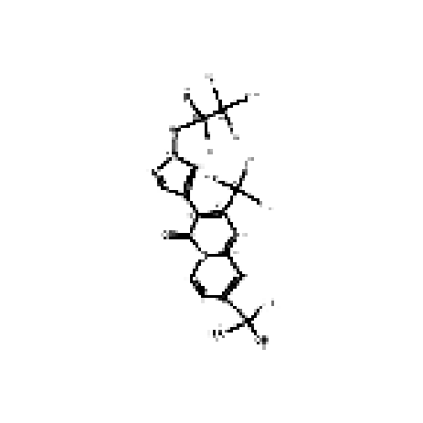 CC(C)(O)c1ccn2c(=O)c(-c3cnn(CC(F)(F)C(F)(F)F)c3)c(C(F)(F)F)nc2c1